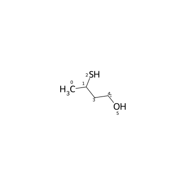 CC(S)C[C]O